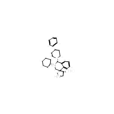 O=C[C@@H]1CNC[C@]12CNC(N1CC[C@@H](c3ccccc3)C[C@H]1C1CCCCC1)c1ccccc12